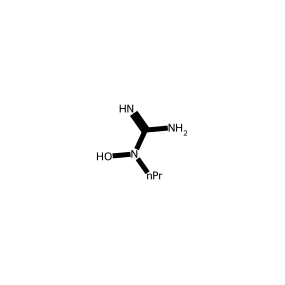 CCCN(O)C(=N)N